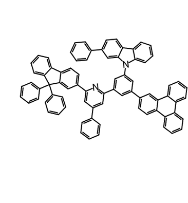 c1ccc(-c2cc(-c3cc(-c4ccc5c6ccccc6c6ccccc6c5c4)cc(-n4c5ccccc5c5ccc(-c6ccccc6)cc54)c3)nc(-c3ccc4c(c3)C(c3ccccc3)(c3ccccc3)c3ccccc3-4)c2)cc1